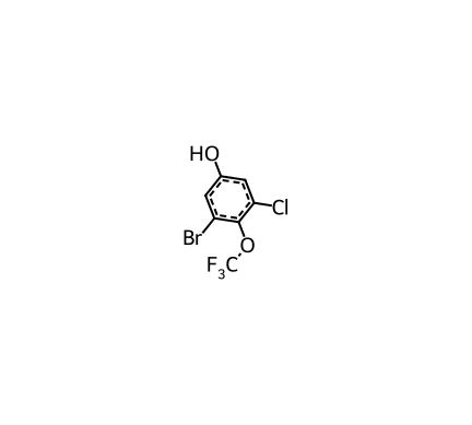 Oc1cc(Cl)c(OC(F)(F)F)c(Br)c1